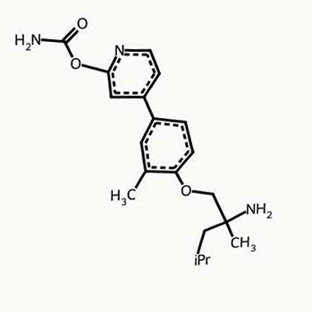 Cc1cc(-c2ccnc(OC(N)=O)c2)ccc1OCC(C)(N)CC(C)C